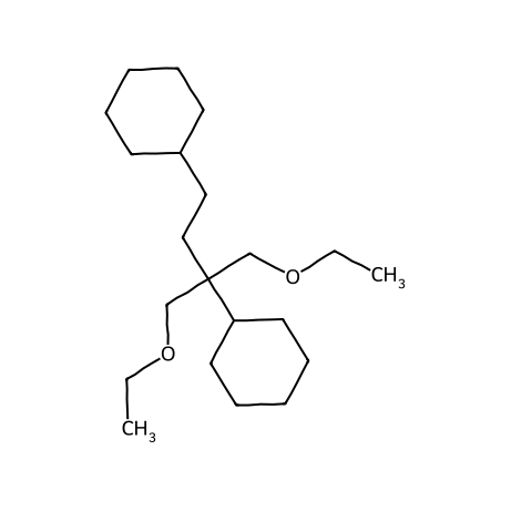 CCOCC(CCC1CCCCC1)(COCC)C1CCCCC1